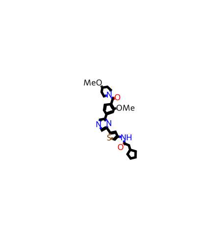 COc1cc(-c2cncc(-c3cc(NC(=O)CC4CCCC4)cs3)n2)ccc1C(=O)N1CCC(OC)CC1